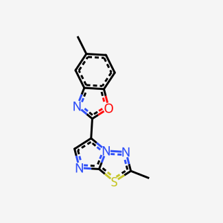 Cc1ccc2oc(-c3cnc4sc(C)nn34)nc2c1